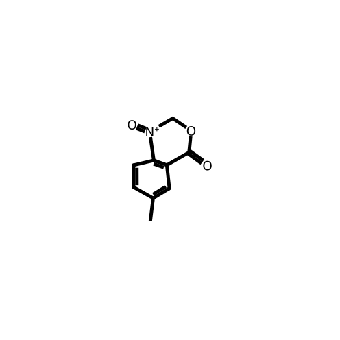 Cc1ccc2c(c1)C(=O)OC[N+]2=O